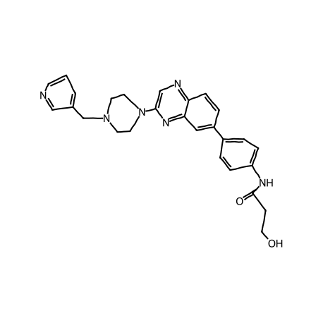 O=C(CCO)Nc1ccc(-c2ccc3ncc(N4CCN(Cc5cccnc5)CC4)nc3c2)cc1